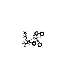 COC(=O)c1sc(-c2cccc(N(CC3CCCCC3)C(=O)Nc3c(-c4ccccc4)noc3C)c2)c(Br)c1OCC(=O)OC(C)(C)C